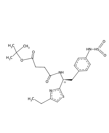 CCc1csc([C@H](Cc2ccc(N[SH](=O)=O)cc2)NC(=O)CCC(=O)OC(C)(C)C)n1